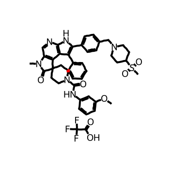 COc1cccc(NC(=O)N2CCC3(CC2)C(=O)N(C)c2cnc4[nH]c(-c5ccc(CN6CCC(S(C)(=O)=O)CC6)cc5)c(-c5ccccc5)c4c23)c1.O=C(O)C(F)(F)F